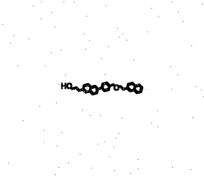 OCCCc1ccc2cc(-c3ccc(COCCc4ccc5ccccc5c4)cc3)ccc2c1